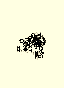 C/C(=C\[C@H](C(C)C)N(C)C(=O)[C@@H](NC(=O)[C@@H](N(C)C(=O)OC(C)(C)C)C(C)(C)c1ccccc1)C(C)(C)C)C(=O)NS(=O)(=O)c1ccc(C2(NC(=O)C(F)(F)F)CC2)cc1